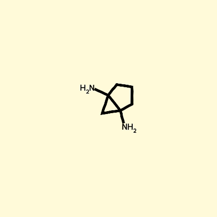 NC12CCCC1(N)C2